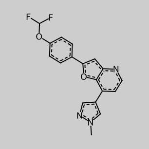 Cn1cc(-c2ccnc3cc(-c4ccc(OC(F)F)cc4)oc23)cn1